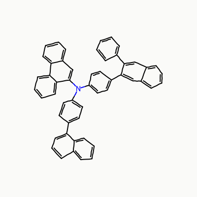 c1ccc(-c2cc3ccccc3cc2-c2ccc(N(c3ccc(-c4cccc5ccccc45)cc3)c3cc4ccccc4c4ccccc34)cc2)cc1